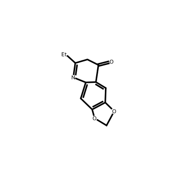 CCC1=Nc2cc3c(cc2C(=O)C1)OCO3